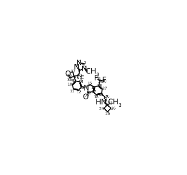 Cn1cnnc1[C@H](F)C1(c2cccc(N3Cc4c(cc(CNC5(C)CCC5)cc4C(F)F)C3=O)c2)COC1